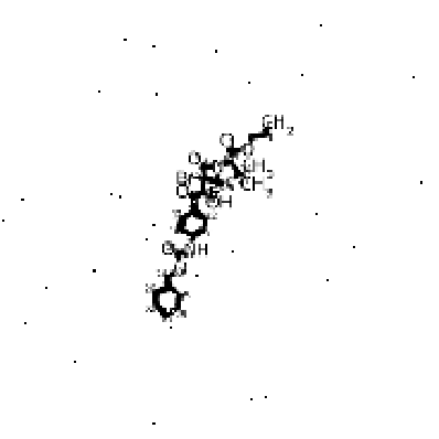 C=CCOC(=O)[C@@H]1N2C(=O)[C@@](Br)(C(O)C(=O)c3ccc(NC(=O)OCc4ccccc4)cc3)[C@H]2SC1(C)C